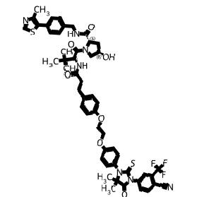 Cc1ncsc1-c1ccc(CNC(=O)[C@@H]2C[C@@H](O)CN2C(=O)[C@@H](NC(=O)CCc2ccc(OCCOc3ccc(N4C(=S)N(c5ccc(C#N)c(C(F)(F)F)c5)C(=O)C4(C)C)cc3)cc2)C(C)(C)C)cc1